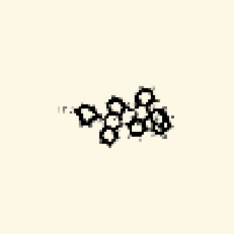 Cc1ccc(N2c3ccccc3B3c4cccc5c4N(c4ccccc4C54C5CC6CC(C5)CC4C6)c4cccc2c43)cc1